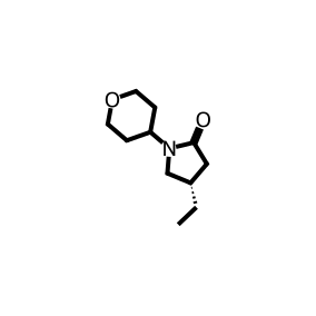 CC[C@H]1CC(=O)N(C2CCOCC2)C1